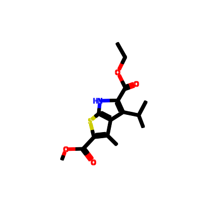 CCOC(=O)c1[nH]c2sc(C(=O)OC)c(C)c2c1C(C)C